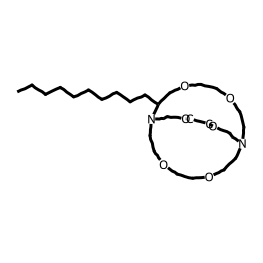 CCCCCCCCCCC1COCCOCCN2CCOCCOCCN1CCOCCOCC2